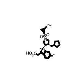 CC(C)C1CC1S(=O)(=O)N1C[C@@H](CC2CCCC2)[C@@H](n2nc(CC(=O)O)c3ccc(F)cc32)C1